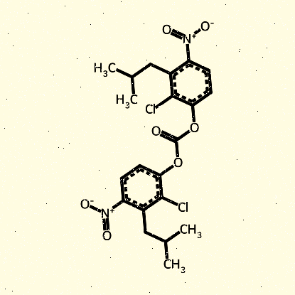 CC(C)Cc1c([N+](=O)[O-])ccc(OC(=O)Oc2ccc([N+](=O)[O-])c(CC(C)C)c2Cl)c1Cl